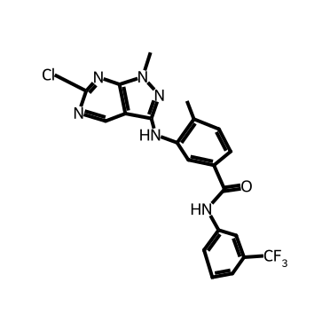 Cc1ccc(C(=O)Nc2cccc(C(F)(F)F)c2)cc1Nc1nn(C)c2nc(Cl)ncc12